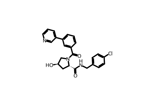 O=C(NCc1ccc(Cl)cc1)[C@@H]1C[C@@H](O)CN1C(=O)c1cccc(-c2cccnc2)c1